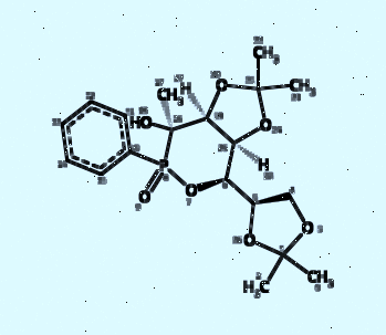 CC1(C)OC[C@H]([C@H]2OP(=O)(c3ccccc3)[C@@](C)(O)[C@H]3OC(C)(C)O[C@@H]23)O1